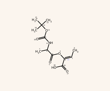 C/C=C(\OC(=O)C(C)NC(=O)OC(C)(C)C)C(=O)O